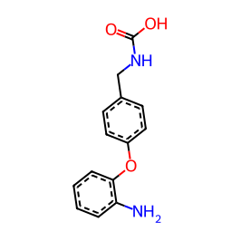 Nc1ccccc1Oc1ccc(CNC(=O)O)cc1